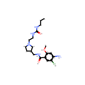 CCCNC(=O)NCCN1CCC(CNC(=O)c2cc(Cl)c(N)cc2OC)C1